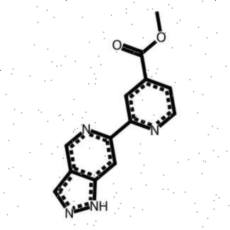 COC(=O)c1ccnc(-c2cc3[nH]ncc3cn2)c1